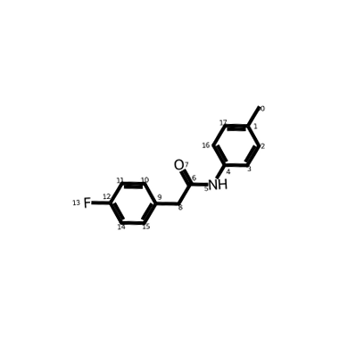 [CH2]c1ccc(NC(=O)Cc2ccc(F)cc2)cc1